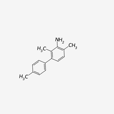 Cc1ccc(-c2ccc(C)c(N)c2C)cc1